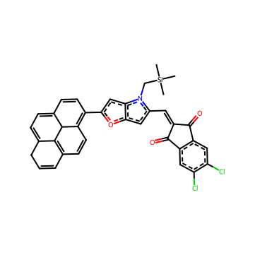 C[Si](C)(C)Cn1c(C=C2C(=O)c3cc(Cl)c(Cl)cc3C2=O)cc2oc(C3=C4C=CC5=C6C(=CC=C(C=C3)C46)CC=C5)cc21